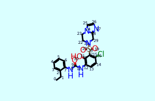 CCc1ccccc1NC(=O)Nc1ccc(Cl)c(S(=O)(=O)N2CCn3ccnc3C2)c1O